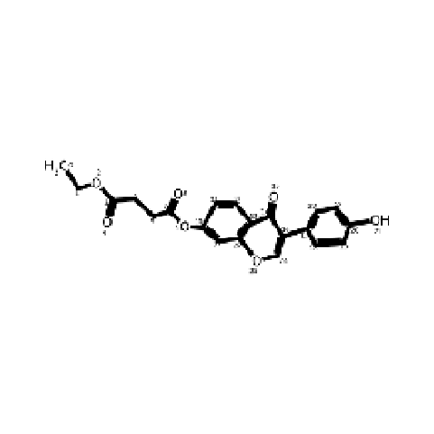 CCOC(=O)CCC(=O)Oc1ccc2c(=O)c(-c3ccc(O)cc3)coc2c1